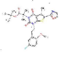 COc1ccc(F)cc1CCn1c(=O)n(C(C)(C)C(=O)OC(C)(C)C)c(=O)c2c(C)c(-c3ncco3)sc21